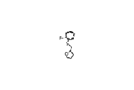 Fc1ccccc1SCC1CCCO1